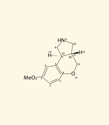 COc1ccc2c(c1)[C@H]1CNC[C@@H]1CO2